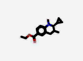 CCOC(=O)c1ccc2c(c1)CC(C)[C@H](C1CC1)N2C